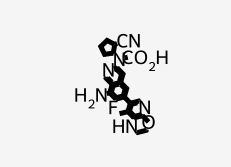 Cc1c(-c2cc3cc(N(C(=O)O)C4CCCC4C#N)ncc3c(N)c2F)cnc2c1NCCO2